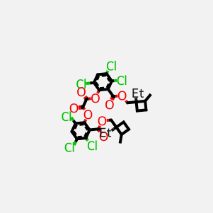 CCC1(COC(=O)c2c(Cl)c(Cl)cc(Cl)c2OC(=O)C(=O)Oc2c(Cl)cc(Cl)c(Cl)c2C(=O)OCC2(CC)CCC2C)CCC1C